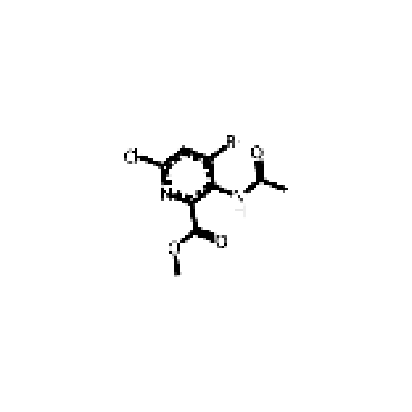 COC(=O)c1nc(Cl)cc(Br)c1NC(C)=O